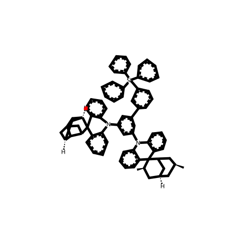 C[C@@H]1CC2C[C@@H](C1)C[C@@H](C)C21c2ccccc2N(c2cc(-c3cccc([Si](c4ccccc4)(c4ccccc4)c4ccccc4)c3)cc(N3c4ccccc4C4(c5ccccc53)C3CC56C[C@@H](C[C@H]4C5)C36)c2)c2ccccc21